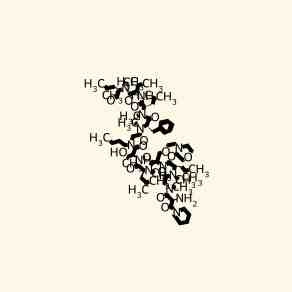 CCCCN(CC(=O)N(C)[C@@H](Cc1ccccc1)C(=O)N(C)[C@@H](CC(C)C)C(=O)N[C@H](C(=O)N(C)[C@H](C=O)CC(C)C)C(C)C)C(=O)[C@@H](NC(=O)[C@H](CC(C)C)N(C)C(=O)C(COCCN1CCOCC1)NC(=O)[C@H](CC(C)C)N(C)C(=O)CN(C)C(=O)[C@H](N)C(=O)N1CCCCC1)[C@@H](C)O